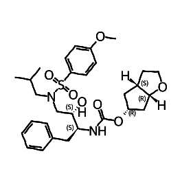 COc1ccc(S(=O)(=O)N(CC(C)C)C[C@H](O)[C@H](Cc2ccccc2)NC(=O)O[C@@H]2C[C@@H]3CCO[C@@H]3C2)cc1